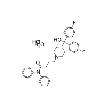 Cl.O.O=C(CCCN1CCC(C(O)(c2ccc(F)cc2)c2ccc(F)cc2)CC1)N(c1ccccc1)c1ccccc1